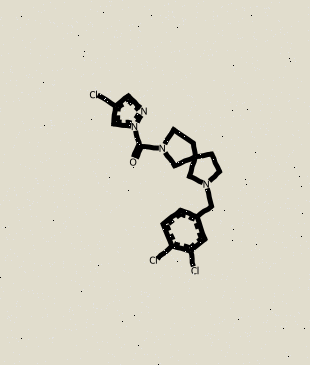 O=C(N1CCC2(CCN(Cc3ccc(Cl)c(Cl)c3)C2)C1)n1cc(Cl)cn1